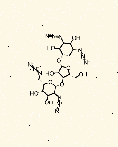 [N-]=[N+]=NC[C@@H]1O[C@H](O[C@H]2[C@@H](O)[C@H](O[C@H]3CC(N=[N+]=[N-])[C@H](O)C(N=[N+]=[N-])[C@@H]3O)O[C@@H]2CO)C(N=[N+]=[N-])[C@@H](O)[C@@H]1O